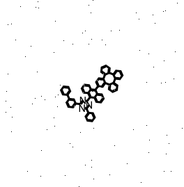 c1ccc(-c2cccc(-c3nc(-c4ccccc4)nc(-c4c5ccccc5c(-c5ccc6c(c5)-c5ccccc5-c5ccccc5-c5ccccc5-6)c5ccccc45)n3)c2)cc1